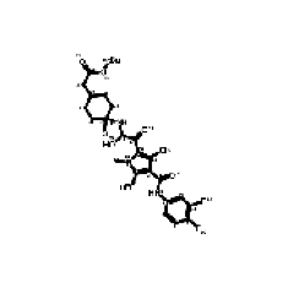 CCCc1c(C(=O)Nc2ccc(F)c(F)c2)c(Cl)c(C(=O)C(O)NC2(C)CCC(CC(=O)OC(C)(C)C)CC2)n1C